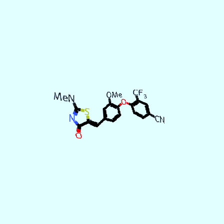 CNC1=NC(=O)C(=Cc2ccc(Oc3ccc(C#N)cc3C(F)(F)F)c(OC)c2)S1